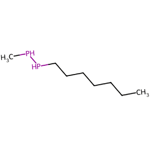 CCCCCCCPPC